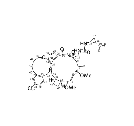 CO[C@H]1/C=C/[C@H](OC)[C@H](C)CS(=O)(CNC(=O)N[C@H]2C[C@@H]2C(F)F)=NC(=O)c2ccc3c(c2)N(Cc2ccc(Cl)cc2CCCCO3)C[C@@H]2CC[C@H]21